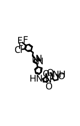 O=C1CCC(N2C(=O)C=C(Nc3ccc(-c4cn(CCc5ccc(C(F)(F)F)c(Cl)c5)nn4)cc3)C2=O)C(=O)N1